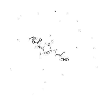 C/C(C=O)=C\C[C@@H]1O[C@H](C)[C@H](NC(=O)OC(C)(C)C)C[C@@H]1C